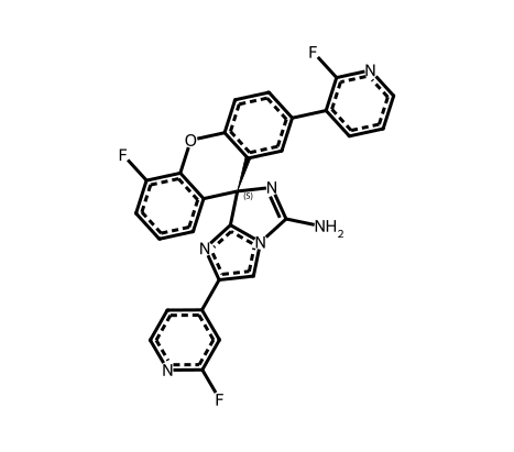 NC1=N[C@]2(c3cc(-c4cccnc4F)ccc3Oc3c(F)cccc32)c2nc(-c3ccnc(F)c3)cn21